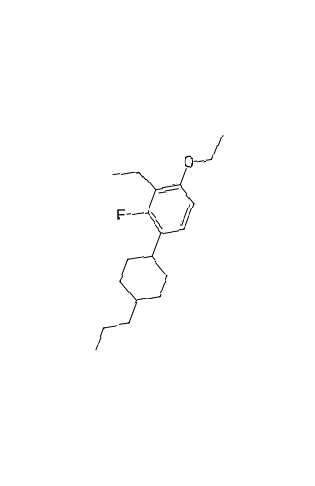 CCCC1CCC(c2ccc(OCC)c(CC)c2F)CC1